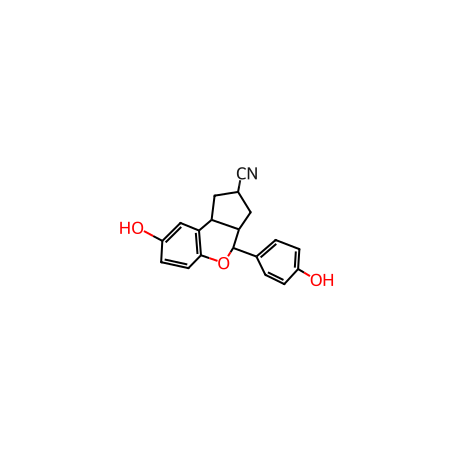 N#CC1CC2c3cc(O)ccc3OC(c3ccc(O)cc3)C2C1